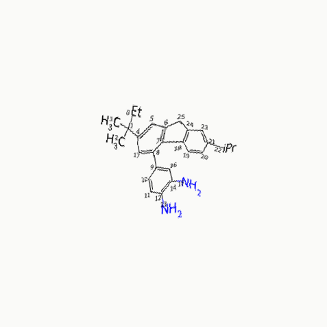 CCC(C)(C)c1cc2c(c(-c3ccc(N)c(N)c3)c1)-c1ccc(C(C)C)cc1C2